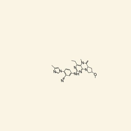 C=C1C2CC(OC)CN2c2nc(Nc3ccc(-n4cnc(C)c4)c(C#N)c3)nc(CC)c2N1C